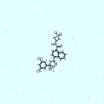 O=C(NC1CS(=O)(=O)C1)c1ccc(C2=NOC(c3cc(Cl)cc(Cl)c3)(C(F)(F)F)C2)c2ccccc12